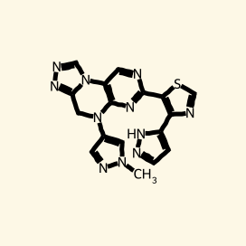 Cn1cc(N2Cc3nncn3-c3cnc(-c4scnc4-c4ccn[nH]4)nc32)cn1